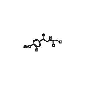 COc1ccc(C(=O)CNC(=O)CCl)cc1Cl